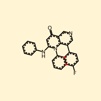 O=c1cc(Nc2ccccc2)n(-c2ccccc2)c2c(-c3ccc(F)cc3)cncc12